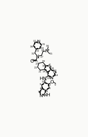 COc1cc2[nH]ncc2cc1Nc1ncnc2sc3c(c12)CC[C@H](C(=O)N(CCN(C)C)Cc1ccncc1)C3